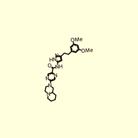 COc1cc(CCc2cc(NC(=O)c3cnc(N4CCN5CCCCC5C4)cn3)[nH]n2)cc(OC)c1